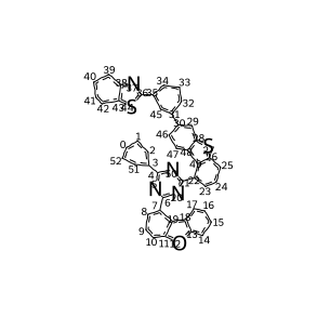 c1ccc(-c2nc(-c3cccc4oc5ccccc5c34)nc(-c3cccc4sc5cc(-c6cccc(-c7nc8ccccc8s7)c6)ccc5c34)n2)cc1